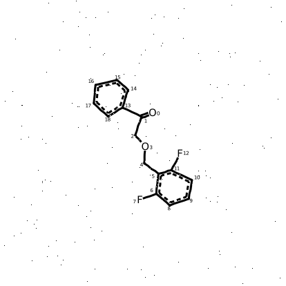 O=C(COCc1c(F)cccc1F)c1ccccc1